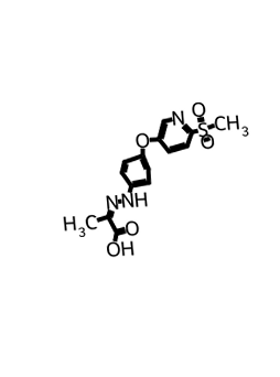 CC(=NNc1ccc(Oc2ccc(S(C)(=O)=O)nc2)cc1)C(=O)O